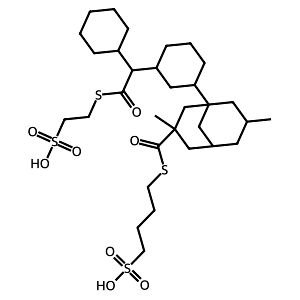 CC1CC2CC(C)(C(=O)SCCCCS(=O)(=O)O)CC(C3CCCC(C(C(=O)SCCS(=O)(=O)O)C4CCCCC4)C3)(C1)C2